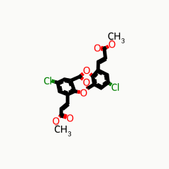 COC(=O)C=Cc1cc(Cl)cc2c1OC1OC2Oc2c(C=CC(=O)OC)cc(Cl)cc21